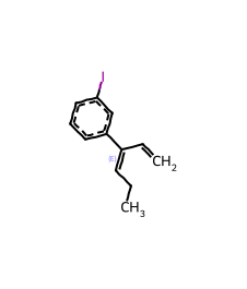 C=C/C(=C\CC)c1cccc(I)c1